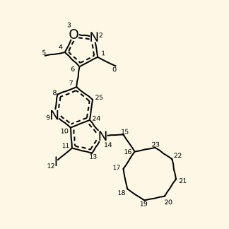 Cc1noc(C)c1-c1cnc2c(I)cn(CC3CCCCCCC3)c2c1